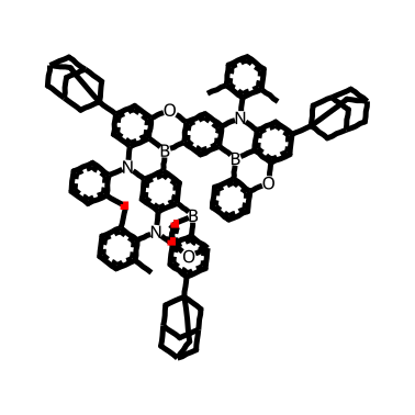 Cc1ccccc1N1c2cc3c(cc2B2c4cc5c(cc4Oc4cc(C67CC8CC(CC(C8)C6)C7)cc1c42)N(c1c(C)cccc1C)c1cc(C24CC6CC(CC(C6)C2)C4)cc2c1B5c1ccccc1O2)B1c2ccccc2Oc2cc(C45CC6CC(CC(C6)C4)C5)cc(c21)N3c1c(C)cccc1C